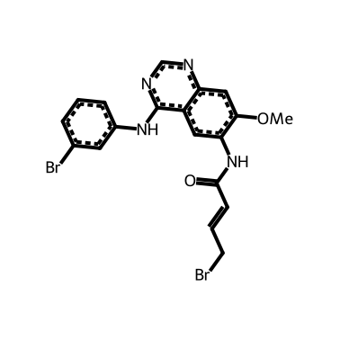 COc1cc2ncnc(Nc3cccc(Br)c3)c2cc1NC(=O)C=CCBr